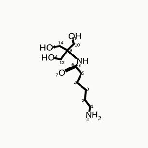 NCCCCCC(=O)NC(CO)(CO)CO